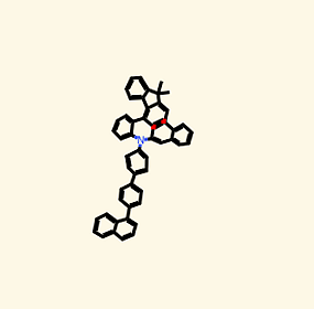 CC1(C)c2ccccc2-c2c(-c3ccccc3N(c3ccc(-c4ccc(-c5cccc6ccccc56)cc4)cc3)c3ccc4ccccc4c3)cccc21